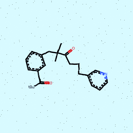 CC(C)(C)C(=O)c1cccc(CC(C)(C)C(=O)CCCc2cccnc2)c1